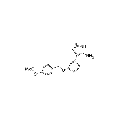 COSc1ccc(COc2cccc(-c3nn[nH]c3N)c2)cc1